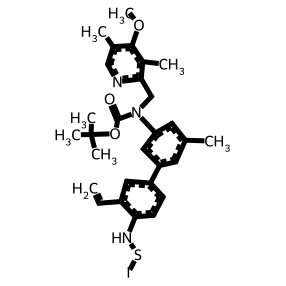 C=Cc1cc(-c2cc(C)cc(N(Cc3ncc(C)c(OC)c3C)C(=O)OC(C)(C)C)c2)ccc1NSI